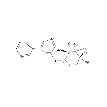 CC(=O)[C@]1(O)[C@@](O)(C(C)=O)CS[C@H](Oc2cncc(-c3cccnc3)c2)[C@@]1(O)C(C)=O